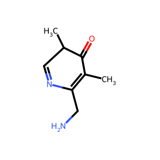 CC1=C(CN)N=CC(C)C1=O